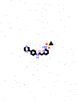 O=C(Cc1cccc(NS(=O)(=O)C2CC2)n1)Nc1ccc(-c2cnccn2)cc1